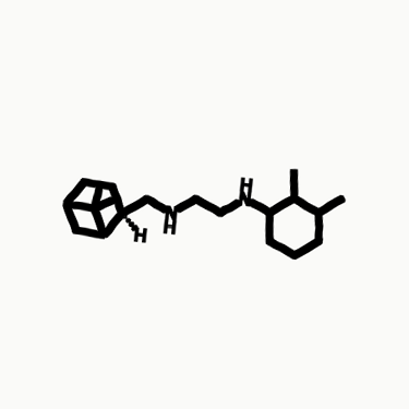 CC1CCCC(NCCNC[C@@H]2CCC3CC2C3(C)C)C1C